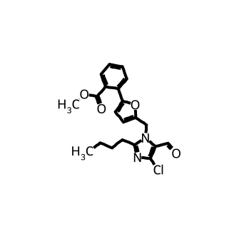 CCCCc1nc(Cl)c(C=O)n1Cc1ccc(-c2ccccc2C(=O)OC)o1